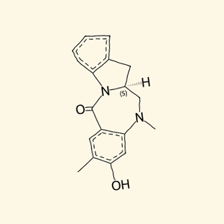 Cc1cc2c(cc1O)N(C)C[C@@H]1Cc3ccccc3N1C2=O